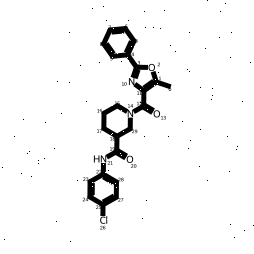 Cc1oc(-c2ccccc2)nc1C(=O)N1CCCC(C(=O)Nc2ccc(Cl)cc2)C1